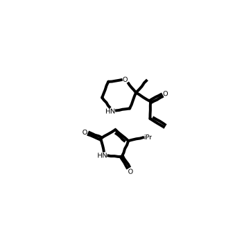 C=CC(=O)C1(C)CNCCO1.CC(C)C1=CC(=O)NC1=O